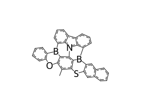 Cc1c2c3c4c5c1Sc1cc6ccccc6cc1B5c1cccc5c6cccc(c6n-4c15)B3c1ccccc1O2